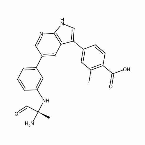 Cc1cc(-c2c[nH]c3ncc(-c4cccc(N[C@](C)(N)C=O)c4)cc23)ccc1C(=O)O